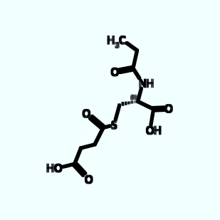 CCC(=O)N[C@@H](CSC(=O)CCC(=O)O)C(=O)O